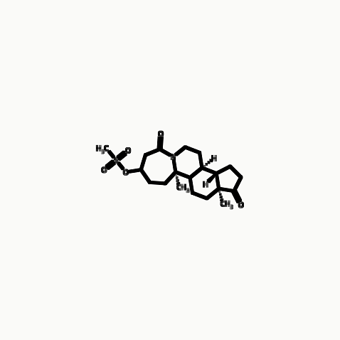 C[C@]12CCC3[C@@H](CCN4C(=O)CC(OS(C)(=O)=O)CC[C@]34C)[C@@H]1CCC2=O